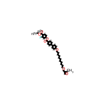 CCCC(CCC)OC(=O)c1ccc(OC(=O)c2ccc(-c3ccc(OCCCCCCCCCCCOCC4COC4C)cc3)cc2)cc1F